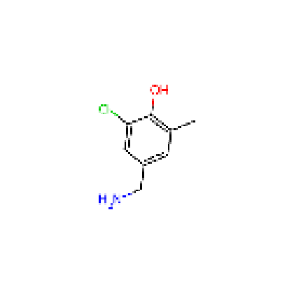 Cc1cc(CN)cc(Cl)c1O